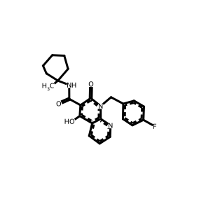 CC1(NC(=O)c2c(O)c3cccnc3n(Cc3ccc(F)cc3)c2=O)CCCCC1